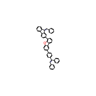 C(=C1\c2ccccc2-c2ccc(-c3cccc4c3oc3ccc(-c5ccc(/C(=C/c6ccccc6)c6ccccc6)cc5)cc34)cc21)/c1ccccc1